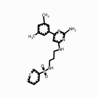 Cc1cc(C)cc(-c2cc(NCCCNS(=O)(=O)c3ccccc3)nc(N)n2)c1